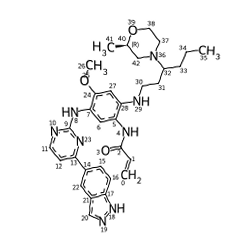 C=CC(=O)Nc1cc(Nc2nccc(-c3ccc4[nH]ncc4c3)n2)c(OC)cc1NCCC(CCC)N1CCO[C@H](C)C1